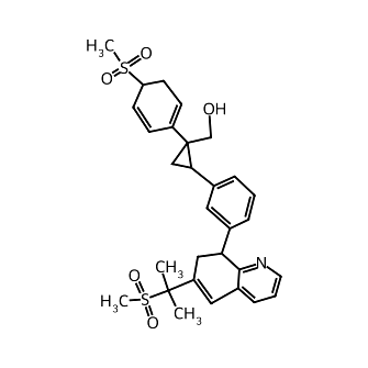 CC(C)(C1=Cc2cccnc2C(c2cccc(C3CC3(CO)C3=CCC(S(C)(=O)=O)C=C3)c2)C1)S(C)(=O)=O